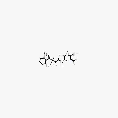 CNC(C(=O)NC(C)C(=O)N(C)C(/C=C(\C)C(C)=O)C(C)C)C(C)(C)c1cn(C)c2ccccc12